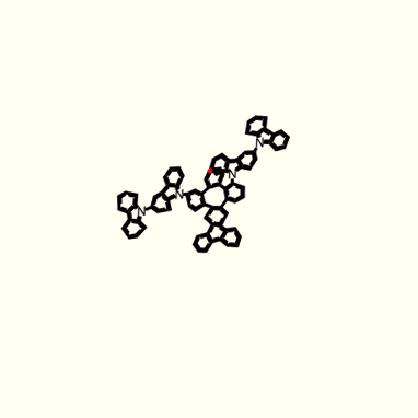 c1ccc2c(c1)-c1cc(-n3c4ccccc4c4cc(-n5c6ccccc6c6ccccc65)ccc43)ccc1-c1cc3c4ccccc4c4ccccc4c3cc1-c1cccc(-n3c4ccccc4c4cc(-n5c6ccccc6c6ccccc65)ccc43)c1-2